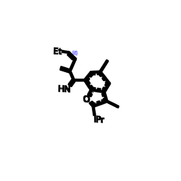 C=C(/C=C\CC)C(=N)c1cc(C)cc2c(C)c(C(C)C)oc12